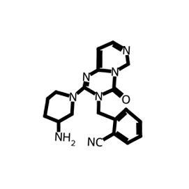 N#Cc1ccccc1CN1C(=O)N2CN=CC=C2N=C1N1CCCC(N)C1